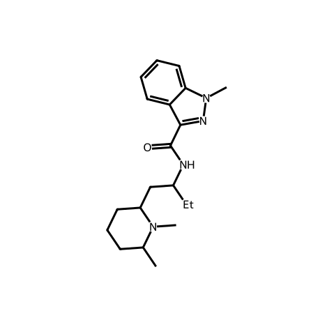 CCC(CC1CCCC(C)N1C)NC(=O)c1nn(C)c2ccccc12